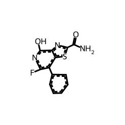 NC(=O)c1nc2c(O)nc(F)c(-c3ccccc3)c2s1